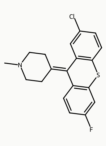 CN1CCC(=C2c3ccc(F)cc3Sc3ccc(Cl)cc32)CC1